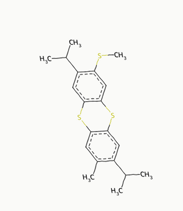 CSc1cc2c(cc1C(C)C)Sc1cc(C)c(C(C)C)cc1S2